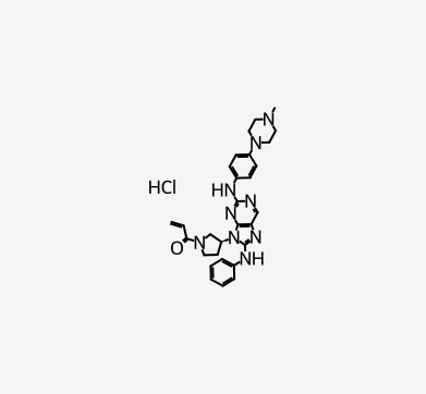 C=CC(=O)N1CC[C@H](n2c(Nc3ccccc3)nc3cnc(Nc4ccc(N5CCN(C)CC5)cc4)nc32)C1.Cl